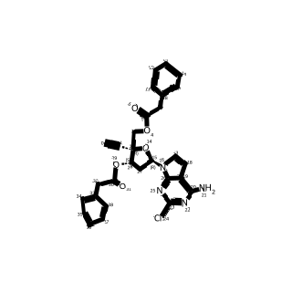 C#C[C@]1(COC(=O)Cc2ccccc2)O[C@@H](n2ccc3c(N)nc(Cl)nc32)C[C@@H]1OC(=O)Cc1ccccc1